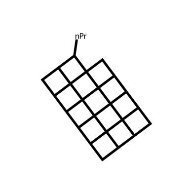 CCCC1C2CC3C4C5C6CC7C8CC9C%10C%11CC1%12C23C41C%11%12C%102C89C76C512